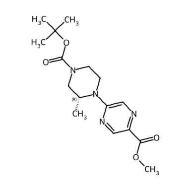 COC(=O)c1cnc(N2CCN(C(=O)OC(C)(C)C)C[C@H]2C)cn1